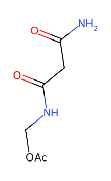 CC(=O)OCNC(=O)CC(N)=O